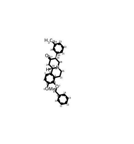 COc1ccc2c(c1OCc1ccccc1)CCN1C[C@H](c3cccc(C)c3)C(=O)C[C@@H]21